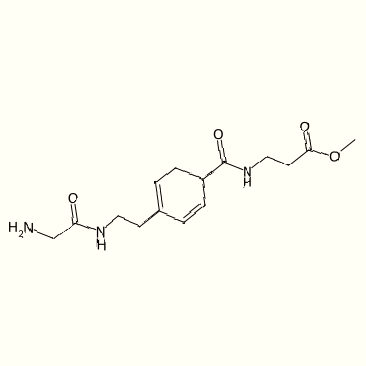 COC(=O)CCNC(=O)C1C=CC(CCNC(=O)CN)=CC1